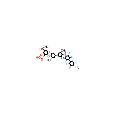 CC(=O)c1ccc(Oc2c(C)cc(-c3cc(C)c(Oc4c(F)c(F)c(-c5c(F)c(F)c(C)c(F)c5F)c(F)c4F)c(C)c3)cc2C)c(CS(=O)(=O)O)c1